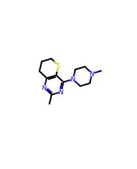 Cc1nc2c(c(N3CCN(C)CC3)n1)SCCC2